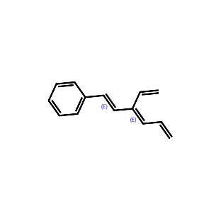 C=C/C=C(C=C)/C=C/c1ccccc1